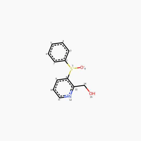 [O-][S+](c1ccccc1)c1cccnc1CO